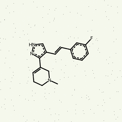 CN1CCC=C(c2n[nH]cc2C=Cc2cccc(F)c2)C1